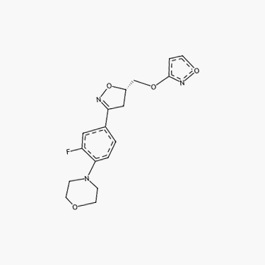 Fc1cc(C2=NO[C@H](COc3ccon3)C2)ccc1N1CCOCC1